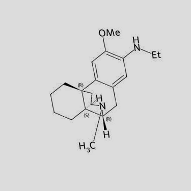 CCNc1cc2c(cc1OC)[C@@]13CCCC[C@@H]1[C@@H](C2)N(C)CC3